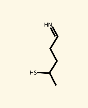 CC(S)CCC=N